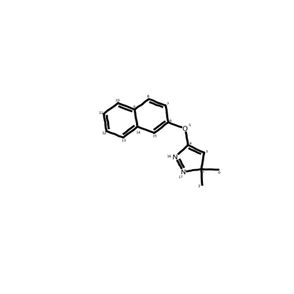 CC1(C)C=C(Oc2ccc3ccccc3c2)N=N1